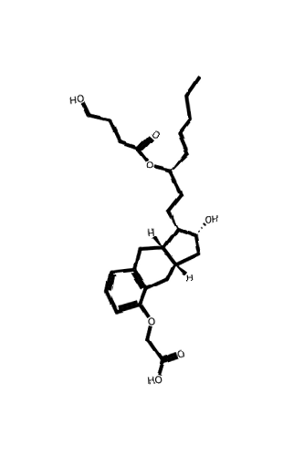 CCCCC[C@@H](CC[C@@H]1[C@H]2Cc3cccc(OCC(=O)O)c3C[C@H]2C[C@H]1O)OC(=O)CCCO